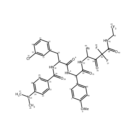 COc1ccc(C(NC(=O)C(Cc2cccc(Cl)c2)NC(=O)c2ccc(N(C)C)cn2)C(=O)NC(C(=O)C(F)(F)C(=O)NCC(F)(F)F)C(C)C)cc1